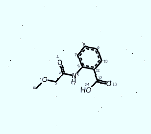 COCC(=O)Nc1ccccc1C(=O)O